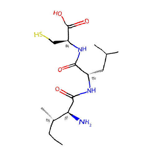 CC[C@H](C)[C@H](N)C(=O)N[C@@H](CC(C)C)C(=O)N[C@@H](CS)C(=O)O